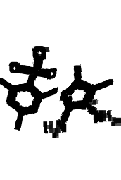 Cc1cc(C)c(S(=O)(=O)[O-])c(C)c1.Cc1sc(N)[n+](N)c1C